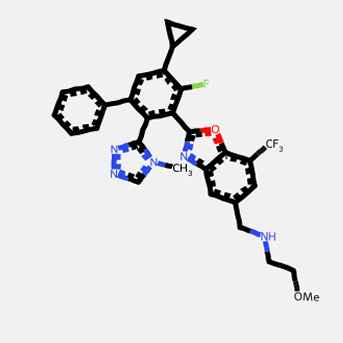 COCCNCc1cc(C(F)(F)F)c2oc(-c3c(F)c(C4CC4)cc(-c4ccccc4)c3-c3nncn3C)nc2c1